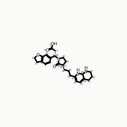 O=C(O)C[C@@H](c1ccc2c(c1)OCC2)N1CC[C@@H](CCCC2=CC=C3CCCNC3N2)C1=O